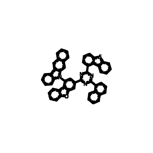 c1ccc2cc3c(cc2c1)c1ccccc1n3-c1cc(-c2nc(-c3cccc4ccccc34)nc(-c3cccc4sc5ccccc5c34)n2)cc2oc3ccccc3c12